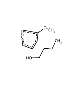 CCCCO.COc1ccccc1